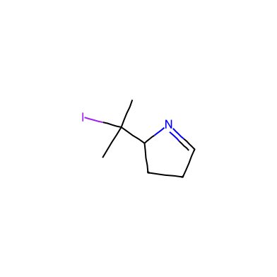 CC(C)(I)C1CCC=N1